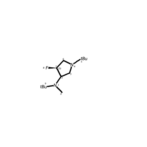 CN(C1CN(C(C)(C)C)C[C@@H]1F)C(C)(C)C